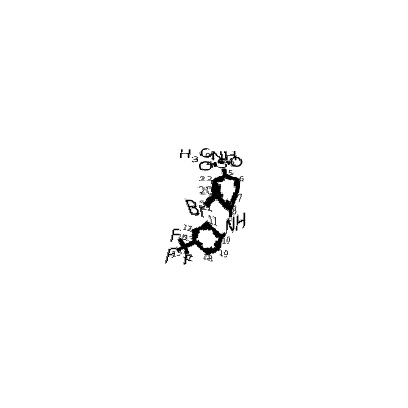 CNS(=O)(=O)c1ccc(Nc2ccc(C(F)(F)F)cc2)c(Br)c1